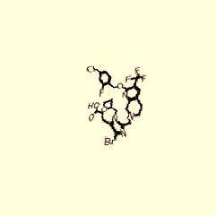 O=C(O)CCc1c(Br)nc(CN2CCc3cc(C(F)(F)F)c(OCc4ccc(Cl)cc4F)nc3C2)n1C[C@@H]1CCO1